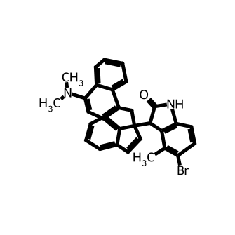 Cc1c(Br)ccc2c1C(C1(Cc3ccc(N(C)C)c4ccccc34)C=Cc3ccccc31)C(=O)N2